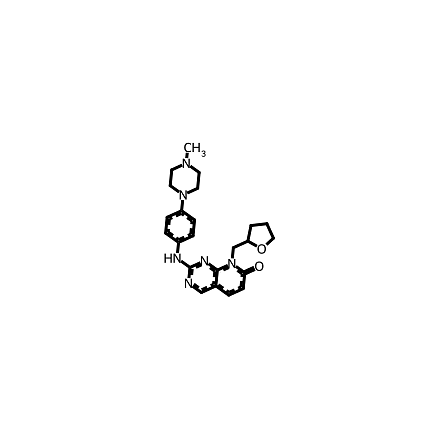 CN1CCN(c2ccc(Nc3ncc4ccc(=O)n(CC5CCCO5)c4n3)cc2)CC1